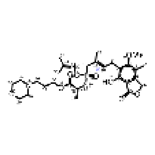 COc1c(C)c2c(c(O)c1C/C=C(\C)CP(=O)(N[C@@H](C)C(=O)OCCCN1CCOCC1)ON=C(C)C)C(=O)OC2